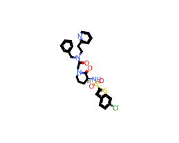 O=C(CN1CCC[C@H](NS(=O)(=O)c2cc3ccc(Cl)cc3s2)C1=O)N(CCc1ccccn1)Cc1ccccc1